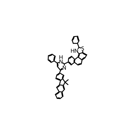 CC1(C)c2cc(C3=NC(c4ccc5c(ccc6ccc7c(c65)NC(C5C=CC=CC5)S7)c4)NC(c4ccccc4)=C3)ccc2-c2cc3ccccc3cc21